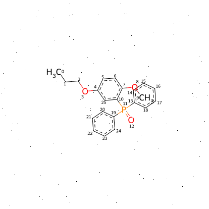 CCCOc1ccc(OC)c(P(=O)(c2ccccc2)c2ccccc2)c1